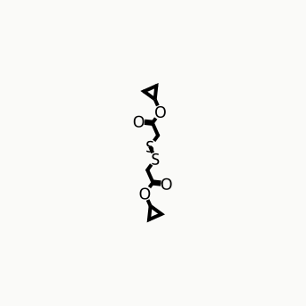 O=C(CSSCC(=O)OC1CC1)OC1CC1